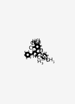 Cc1nc(-c2ccccc2)cc(-c2cccc(Cl)c2Cl)c1C(=O)N1CCN(C)CC1.Cl.Cl